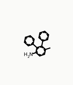 Cc1ccc(N)c(-c2ccccc2)c1-c1ccccc1